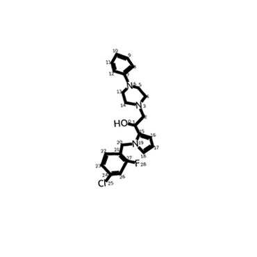 OC(CN1CCN(c2ccccc2)CC1)c1cccn1Cc1ccc(Cl)cc1F